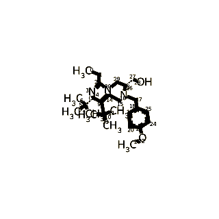 CCC1=N[C@@H](C(C)(C)C)C(C(C)(C)C)=C2CN(Cc3ccc(OC)cc3)[C@@H](CO)CN12